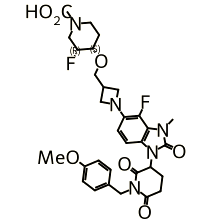 COc1ccc(CN2C(=O)CCC(n3c(=O)n(C)c4c(F)c(N5CC(CO[C@H]6CCN(C(=O)O)C[C@H]6F)C5)ccc43)C2=O)cc1